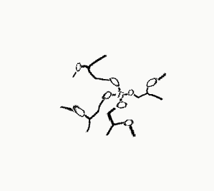 COC(C)C[O][Ti]([O]CC(C)OC)([O]CC(C)OC)[O]CC(C)OC